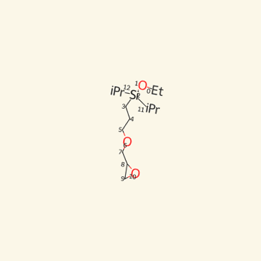 CCO[Si](CCCOCC1CO1)(C(C)C)C(C)C